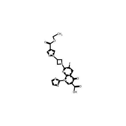 CCOC(=O)c1cnn(C2CN(c3nc4c(cc3F)c(=O)c(C(=O)O)cn4-c3nccs3)C2)c1